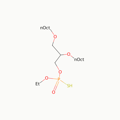 CCCCCCCCOCC(COP(=O)(S)OCC)OCCCCCCCC